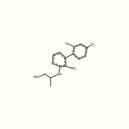 COCC(C)Nc1nccc(-c2ccc(C(F)(F)F)cc2Cl)c1[N+](=O)[O-]